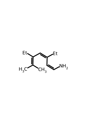 CCC(/C=C(\C=C/N)CC)=C(C)C